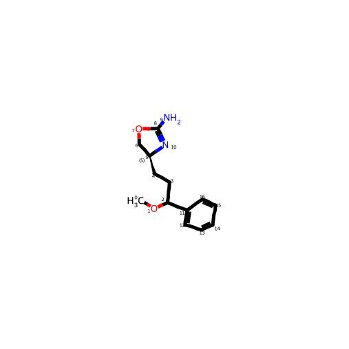 COC(CC[C@H]1COC(N)=N1)c1ccccc1